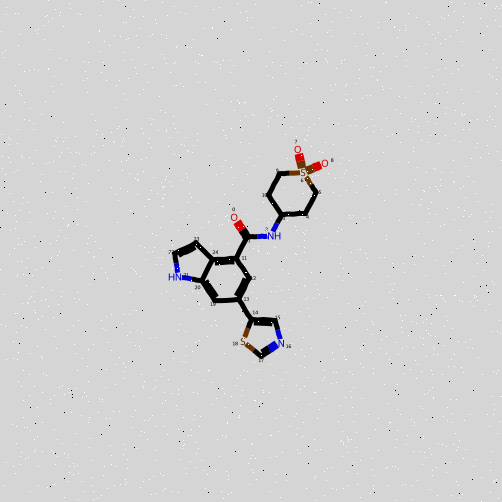 O=C(NC1CCS(=O)(=O)CC1)c1cc(-c2cncs2)cc2[nH]ccc12